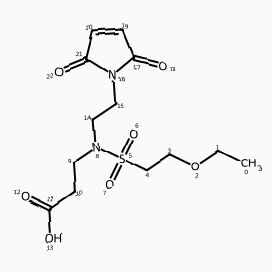 CCOCCS(=O)(=O)N(CCC(=O)O)CCN1C(=O)C=CC1=O